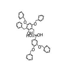 Oc1c(Cc2ccccc2)c(OCc2ccccc2)cc(OCc2ccccc2)c1C[C@@H](O)[C@H](O)c1ccc(OCc2ccccc2)c(OCc2ccccc2)c1